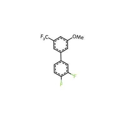 COc1cc(-c2ccc(F)c(F)c2)cc(C(F)(F)F)c1